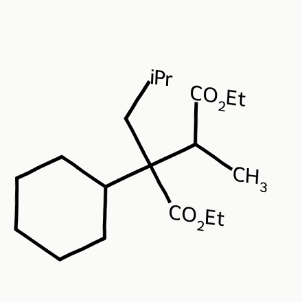 CCOC(=O)C(C)C(CC(C)C)(C(=O)OCC)C1CCCCC1